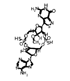 CO[C@H]1[C@H]2O[P@](=O)(S)OC[C@H]3O[C@@H](n4cnc5c(N)ncnc54)[C@H](F)[C@@H]3O[P@](=O)(S)OC[C@H]1O[C@H]2c1snc2c(=O)[nH]c(N)nc12